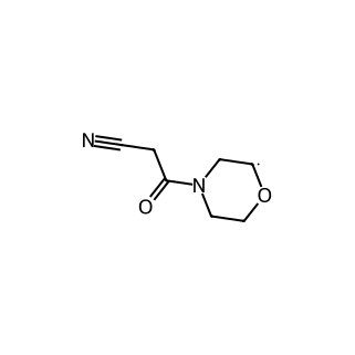 N#CCC(=O)N1C[CH]OCC1